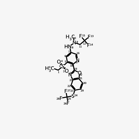 CCS(=O)(=O)c1cc(NN(C)CC(F)(F)F)cnc1-c1nc2cc(SC(F)(F)F)ccc2o1